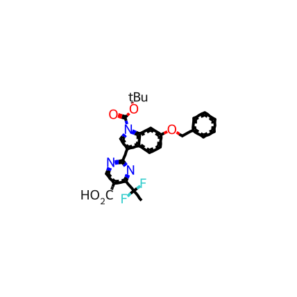 CC(C)(C)OC(=O)n1cc(-c2ncc(C(=O)O)c(C(C)(F)F)n2)c2ccc(OCc3ccccc3)cc21